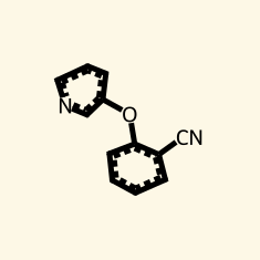 N#Cc1ccccc1Oc1cccnc1